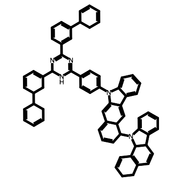 C1=CCC(c2cccc(C3=NC(C4=CC=CC(C5C=CC=CC5)C4)NC(c4ccc(-n5c6c(c7ccccc75)=CC5C(=CC=CC5N5c7ccccc7C7C=CC8=C(C=CCC8)C75)C=6)cc4)=N3)c2)C=C1